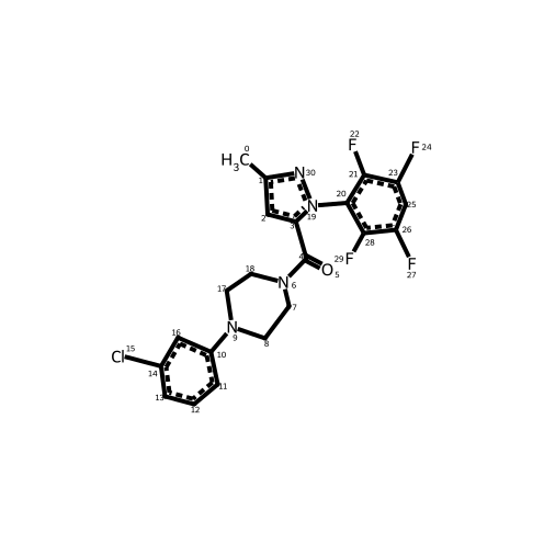 Cc1cc(C(=O)N2CCN(c3cccc(Cl)c3)CC2)n(-c2c(F)c(F)cc(F)c2F)n1